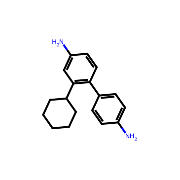 Nc1ccc(-c2ccc(N)cc2C2CCCCC2)cc1